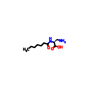 CCCCCCC(=O)N[C@H](CN)C(=O)O